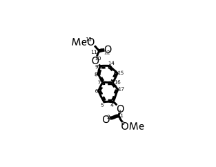 COC(=O)Oc1ccc2cc(OC(=O)OC)ccc2c1